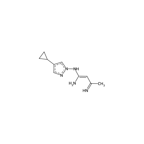 CC(=N)/C=C(\N)Nn1cc(C2CC2)cn1